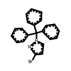 Brc1ccn(C(c2ccccc2)(c2ccccc2)c2ccccc2)n1